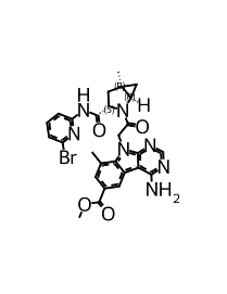 COC(=O)c1cc(C)c2c(c1)c1c(N)ncnc1n2CC(=O)N1[C@H](C(=O)Nc2cccc(Br)n2)C[C@@]2(C)C[C@@H]12